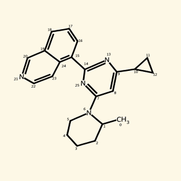 CC1CCCCN1c1cc(C2CC2)nc(-c2cccc3cnccc23)n1